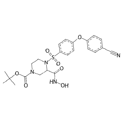 CC(C)(C)OC(=O)N1CCN(S(=O)(=O)c2ccc(Oc3ccc(C#N)cc3)cc2)C(C(=O)NO)C1